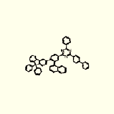 c1ccc(-c2ccc(-c3nc(-c4ccccc4)nc(-c4ccc(-c5ccc6c(c5)-c5ccccc5C6(c5ccccc5)c5ccccc5)c(-c5cccc6ccccc56)c4)n3)cc2)cc1